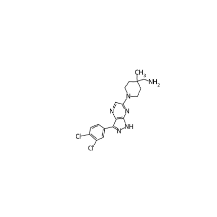 CC1(CN)CCN(c2cnc3c(-c4ccc(Cl)c(Cl)c4)n[nH]c3n2)CC1